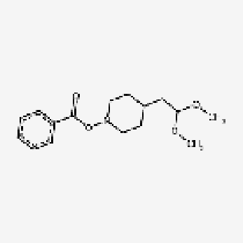 COC(CC1CCN(OC(=O)c2ccccc2)CC1)OC